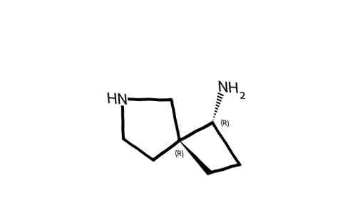 N[C@@H]1CC[C@]12CCNC2